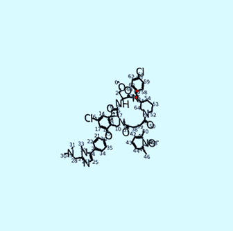 COC[C@@H]1NC(=O)[C@H](C)N(Cc2c(F)cc(Cl)cc2Oc2ccc(-c3cnc(CN(C)C)n3C)cc2)C(=O)C[C@@H](Cc2cccc(C)[n+]2[O-])C(=O)N2CCC[C@@](Cc3ccc(Cl)cc3)(C2)N(C)C1=O